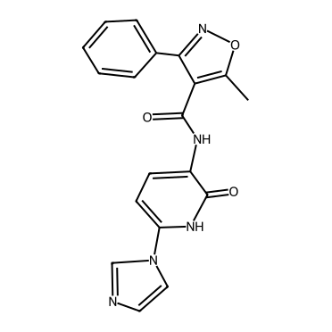 Cc1onc(-c2ccccc2)c1C(=O)Nc1ccc(-n2ccnc2)[nH]c1=O